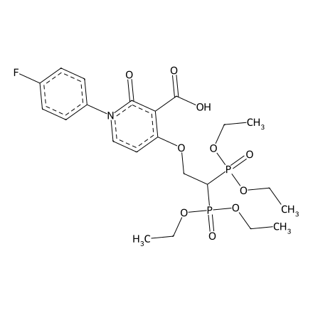 CCOP(=O)(OCC)C(COc1ccn(-c2ccc(F)cc2)c(=O)c1C(=O)O)P(=O)(OCC)OCC